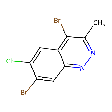 Cc1nnc2cc(Br)c(Cl)cc2c1Br